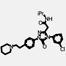 CC(C)NC(=O)Cc1nn(-c2ccc(CCN3CCCCC3)cc2)c(=O)n1-c1cccc(Cl)c1